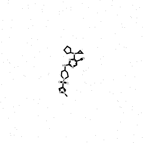 Cn1cc(S(=O)(=O)N2CCC(Nc3ncc(C#N)c(N(C4CCCC4)C4CC4)n3)CC2)cn1